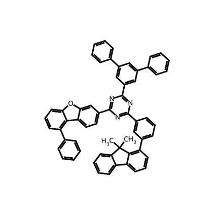 CC1(C)c2ccccc2-c2cccc(-c3cccc(-c4nc(-c5cc(-c6ccccc6)cc(-c6ccccc6)c5)nc(-c5ccc6c(c5)oc5cccc(-c7ccccc7)c56)n4)c3)c21